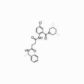 C[C@@H]1C[C@H](C)CN(C(=O)c2cc(Cl)ccc2NC(=O)CCC(=O)N[C@@H](C)c2ccccc2)C1